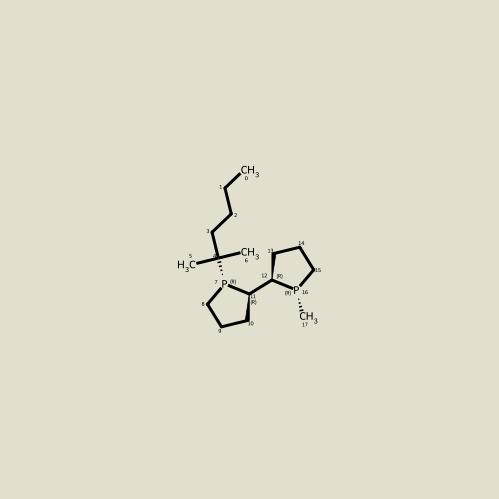 CCCCC(C)(C)[P@@]1CCC[C@@H]1[C@H]1CCC[P@]1C